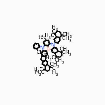 Cc1ccccc1N1c2cc3c(cc2B2c4cc5c(cc4N(c4ccc6c(c4)C(C)(C)CCC6(C)C)c4cc(C(C)(C)C)cc1c42)C(C)(C)CCC5(C)C)-c1cc2c(cc1C3)C(C)(C)CCC2(C)C